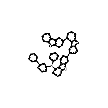 c1ccc(-c2cccc(N(c3ccccc3)c3cccc4oc5cc(-c6ccc7sc8cccc(-c9ccc%10oc%11ccccc%11c%10c9)c8c7c6)ccc5c34)c2)cc1